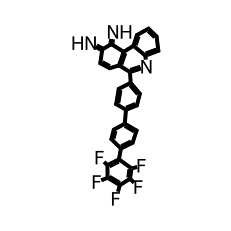 N=C1C=Cc2c(-c3ccc(-c4ccc(-c5c(F)c(F)c(F)c(F)c5F)cc4)cc3)nc3ccccc3c2C1=N